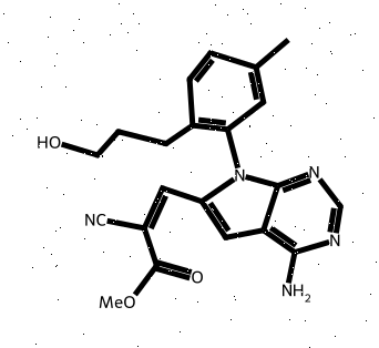 COC(=O)C(C#N)=Cc1cc2c(N)ncnc2n1-c1cc(C)ccc1CCCO